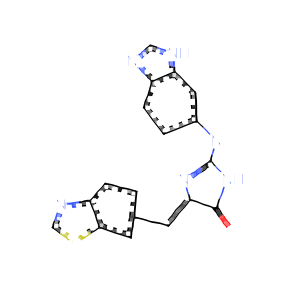 O=C1NC(Nc2ccc3nc[nH]c3c2)=NC1=Cc1ccc2ncsc2c1